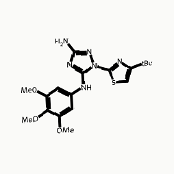 COc1cc(Nc2nc(N)nn2-c2nc(C(C)(C)C)cs2)cc(OC)c1OC